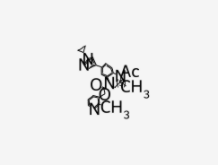 CC(=O)N1c2ccc(-c3cnn(C4CC4)c3)cc2N(C(=O)Oc2cccnc2C)C[C@@H]1C